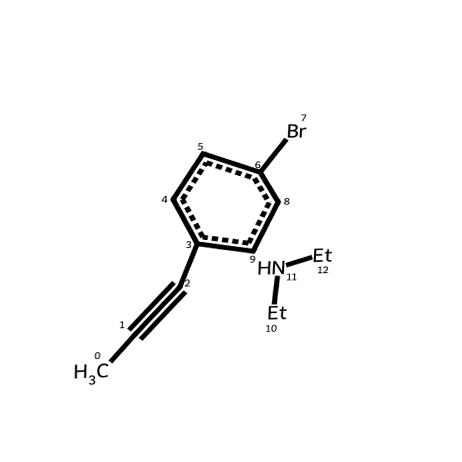 CC#Cc1ccc(Br)cc1.CCNCC